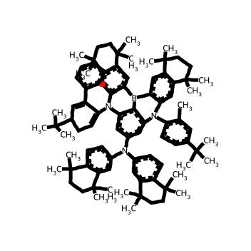 Cc1cc(C(C)(C)C)ccc1N1c2cc3c(cc2B2c4cc5c(cc4N(C4=CCC(C(C)(C)C)C=C4c4ccccc4)c4cc(N(c6ccc7c(c6)C(C)(C)CCC7(C)C)c6ccc7c(c6)C(C)(C)CCC7(C)C)cc1c42)C(C)(C)CCC5(C)C)C(C)(C)CCC3(C)C